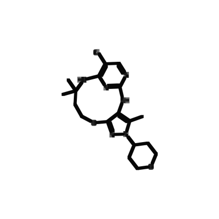 Cc1c2c(nn1C1CCOCC1)OCCC(C)(C)Nc1nc(ncc1Cl)N2